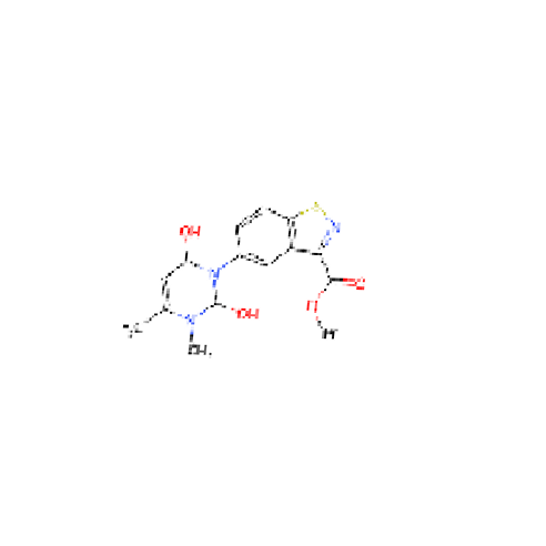 CC(C)OC(=O)c1nsc2ccc(N3C(O)C=C(C(F)(F)F)N(C)C3O)cc12